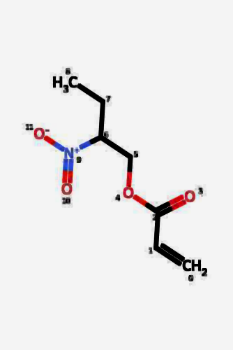 C=CC(=O)OCC(CC)[N+](=O)[O-]